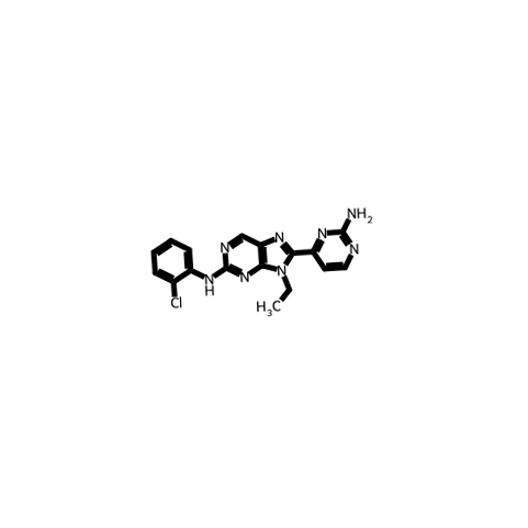 CCn1c(-c2ccnc(N)n2)nc2cnc(Nc3ccccc3Cl)nc21